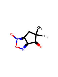 CC1(C)Cc2c(no[n+]2[O-])C1=O